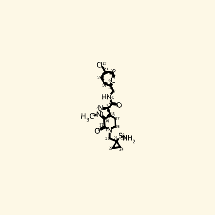 Cn1nc(C(=O)NCc2ccc(Cl)cc2)c2c1C(=O)N(CC1(SN)CC1)CC2